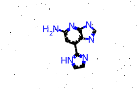 Nc1cc(-c2ncc[nH]2)c2c(n1)[N]C=N2